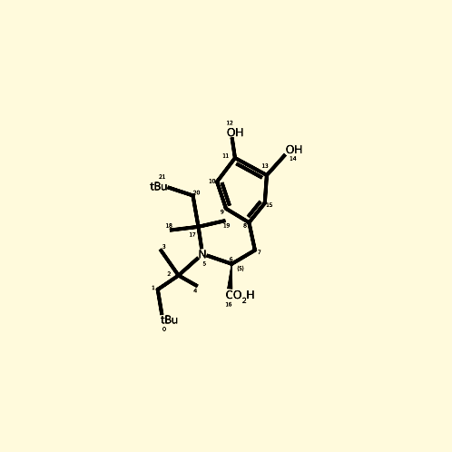 CC(C)(C)CC(C)(C)N([C@@H](Cc1ccc(O)c(O)c1)C(=O)O)C(C)(C)CC(C)(C)C